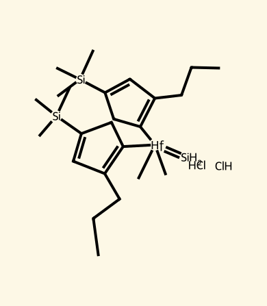 CCCC1=[C]([Hf]([CH3])([CH3])(=[SiH2])[C]2=C(CCC)C=C([Si](C)(C)C)C2)CC([Si](C)(C)C)=C1.Cl.Cl